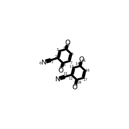 N#CC1=CC(=O)C=CC1=O.N#CC1=CC(=O)C=CC1=O